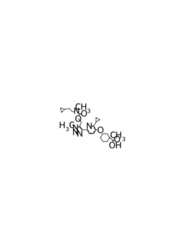 CN(CCC1CC1)C(=O)OCc1c(-c2ccc(O[C@H]3CCC[C@](C)(C(=O)O)C3)c(C3CC3)n2)nnn1C